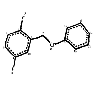 Fc1ccc(F)c(COc2c[c]ccc2)c1